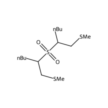 CCCCC(CSC)S(=O)(=O)C(CCCC)CSC